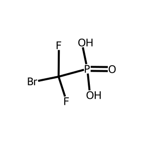 O=P(O)(O)C(F)(F)Br